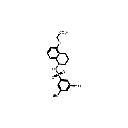 CC(C)(C)c1cc(C(C)(C)C)cc(S(=O)(=O)N[C@@H]2CCCc3c(OCC(=O)O)cccc32)c1